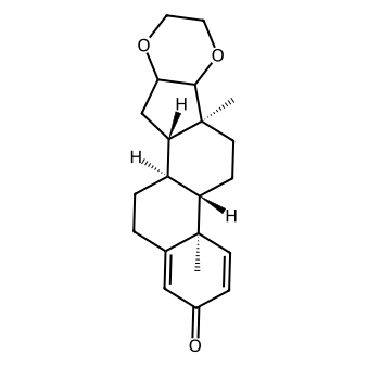 C[C@]12C=CC(=O)C=C1CC[C@@H]1[C@@H]2CC[C@]2(C)C3OCCOC3C[C@@H]12